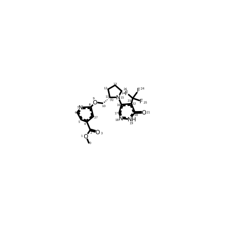 COC(=O)c1ccnc(OC[C@@H]2CCCN2c2cn[nH]c(=O)c2C(F)(F)F)c1